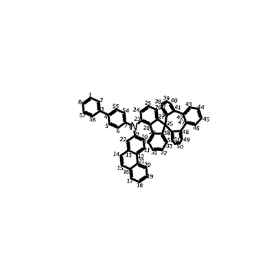 c1ccc(-c2ccc(N(c3ccc4c(ccc5ccccc54)c3)c3cccc4c3-c3ccccc3C43c4ccccc4-c4ccccc4-c4ccccc43)cc2)cc1